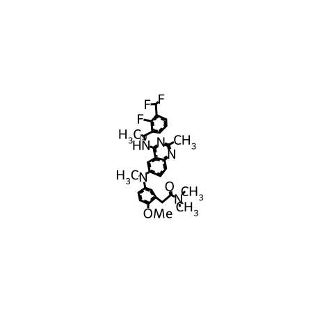 COc1ccc(N(C)c2ccc3nc(C)nc(N[C@@H](C)c4cccc(C(F)F)c4F)c3c2)cc1CC(=O)N(C)C